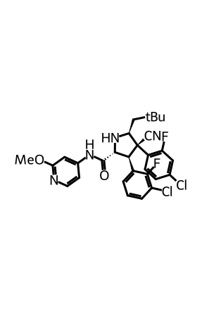 COc1cc(NC(=O)[C@@H]2N[C@@H](CC(C)(C)C)[C@](C#N)(c3ccc(Cl)cc3F)[C@H]2c2cccc(Cl)c2F)ccn1